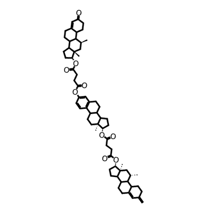 C=C1C=C2CCC3C(C2CC1)[C@@H](C)C[C@@]1(C)C3CC[C@@H]1OC(=O)CCC(=O)O[C@H]1CCC2C3CCc4cc(OC(=O)CCC(=O)O[C@H]5CCC6C7CCC8=CC(=O)CCC8C7[C@@H](C)C[C@@]65C)ccc4C3CC[C@@]21C